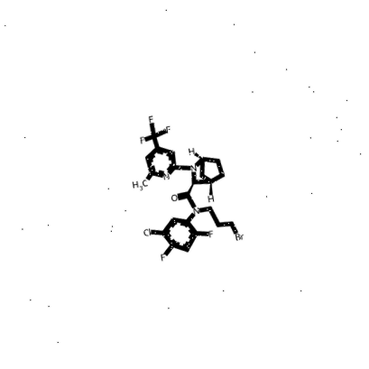 Cc1cc(C(F)(F)F)cc(N2[C@@H]3CC[C@@H](C3)[C@H]2C(=O)N(CCCBr)c2cc(Cl)c(F)cc2F)n1